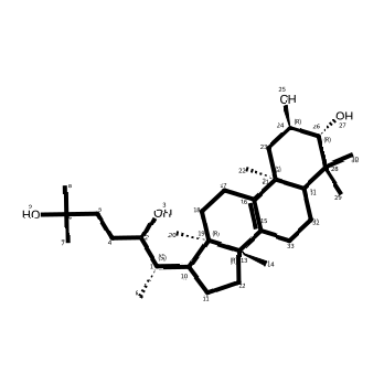 C[C@H](C(O)CCC(C)(C)O)C1CC[C@@]2(C)C3=C(CC[C@]12C)[C@@]1(C)C[C@@H](O)[C@H](O)C(C)(C)C1CC3